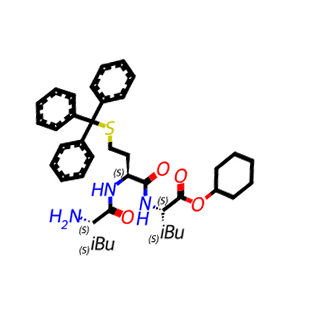 CC[C@H](C)[C@H](N)C(=O)N[C@@H](CCSC(c1ccccc1)(c1ccccc1)c1ccccc1)C(=O)N[C@H](C(=O)OC1CCCCC1)[C@@H](C)CC